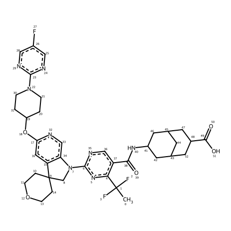 CC(F)(F)c1nc(N2CC3(CCOCC3)c3cc(OC4CCN(c5ncc(F)cn5)CC4)ncc32)ncc1C(=O)NC1CC2CC(C1)CC(C(=O)O)C2